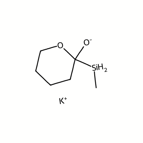 C[SiH2]C1([O-])CCCCO1.[K+]